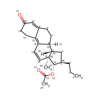 CCC[C@@H]1C[C@H]2[C@@H]3CCC4=CC(=O)CCC4=C3C=C[C@]2(C)[C@H]1OC(C)=O